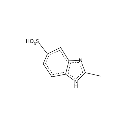 Cc1nc2cc(S(=O)(=O)O)ccc2[nH]1